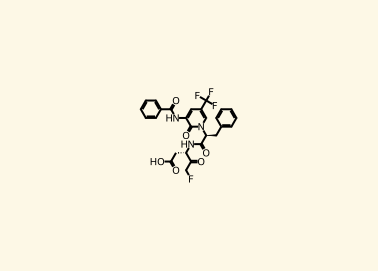 O=C(O)C[C@H](NC(=O)[C@H](Cc1ccccc1)n1cc(C(F)(F)F)cc(NC(=O)c2ccccc2)c1=O)C(=O)CF